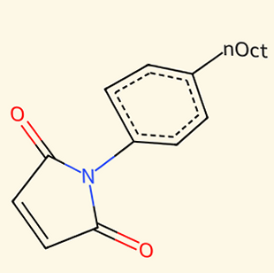 CCCCCCCCc1ccc(N2C(=O)C=CC2=O)cc1